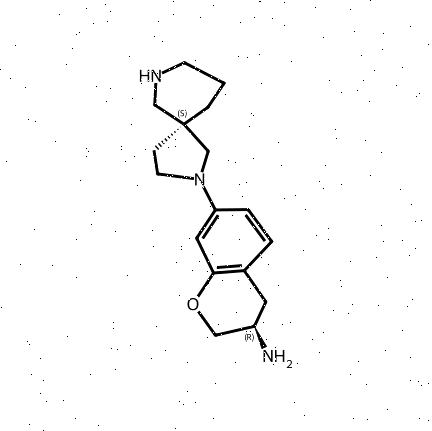 N[C@H]1COc2cc(N3CC[C@]4(CCCNC4)C3)ccc2C1